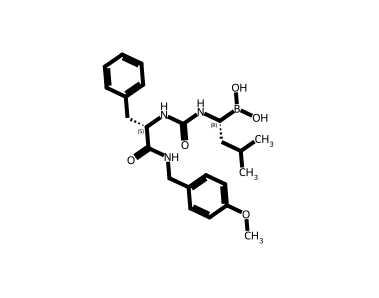 COc1ccc(CNC(=O)[C@H](Cc2ccccc2)NC(=O)N[C@@H](CC(C)C)B(O)O)cc1